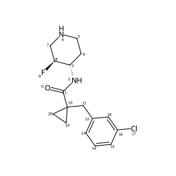 O=C(N[C@H]1CCNC[C@@H]1F)C1(Cc2cccc(Cl)c2)CC1